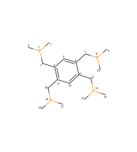 CP(C)Cc1cc(CP(C)C)c(CP(C)C)cc1CP(C)C